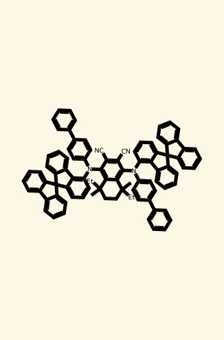 CCC1(C)CCC(C)(CC)c2c(N(c3ccc(-c4ccccc4)cc3)c3cccc4c3-c3ccccc3C43c4ccccc4-c4ccccc43)c(C#N)c(C#N)c(N(c3ccc(-c4ccccc4)cc3)c3cccc4c3-c3ccccc3C43c4ccccc4-c4ccccc43)c21